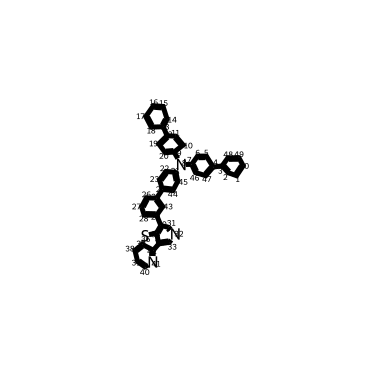 c1ccc(-c2ccc(N(c3ccc(-c4ccccc4)cc3)c3ccc(-c4cccc(-c5cncc6c5sc5cccnc56)c4)cc3)cc2)cc1